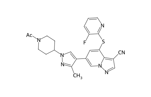 CC(=O)N1CCC(n2cc(-c3cc(Sc4ncccc4F)c4c(C#N)cnn4c3)c(C)n2)CC1